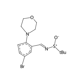 CC(C)(C)[S+]([O-])/N=C/c1cc(Br)ccc1N1CCOCC1